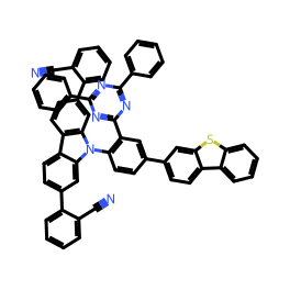 N#Cc1ccccc1-c1ccc2c3ccc(-c4ccccc4C#N)cc3n(-c3ccc(-c4ccc5c(c4)sc4ccccc45)cc3-c3nc(-c4ccccc4)nc(-c4ccccc4)n3)c2c1